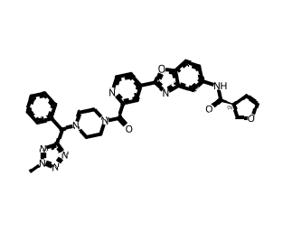 Cn1nnc(C(c2ccccc2)N2CCN(C(=O)c3cc(-c4nc5cc(NC(=O)[C@H]6CCOC6)ccc5o4)ccn3)CC2)n1